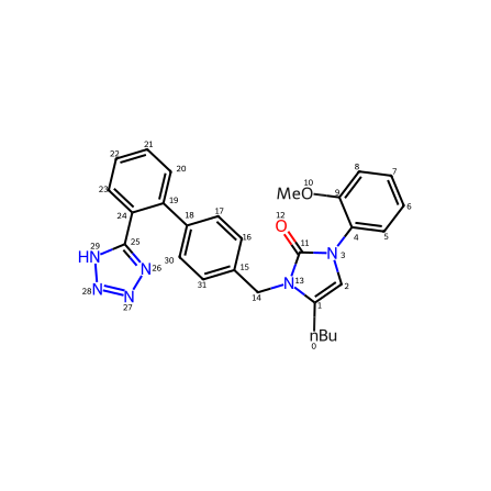 CCCCc1cn(-c2ccccc2OC)c(=O)n1Cc1ccc(-c2ccccc2-c2nnn[nH]2)cc1